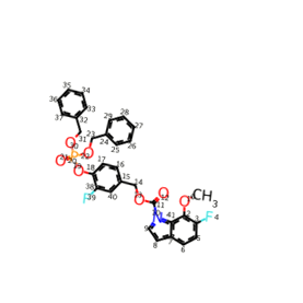 COc1c(F)ccc2ccn(C(=O)OCc3ccc(OP(=O)(OCc4ccccc4)OCc4ccccc4)c(F)c3)c12